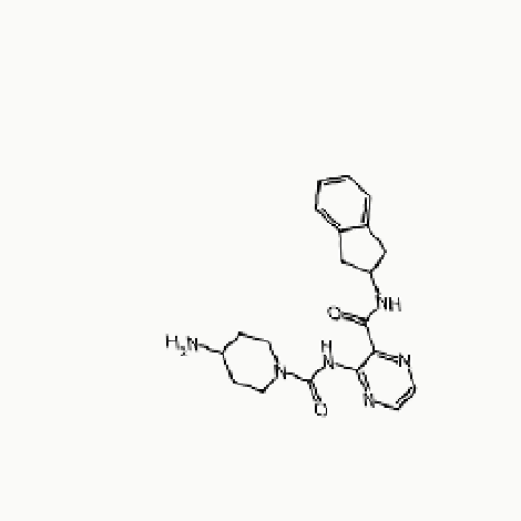 NC1CCN(C(=O)Nc2nccnc2C(=O)NC2Cc3ccccc3C2)CC1